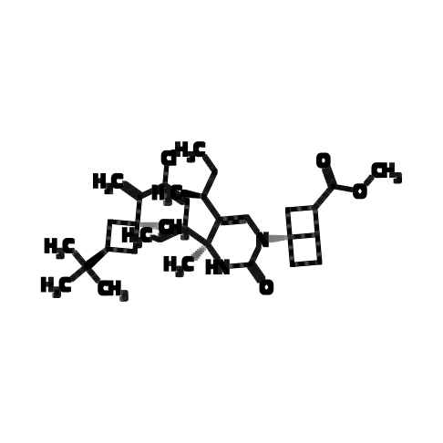 C=C(/C(Cl)=C\C(=C/C)[C@]1(C)NC(=O)N([C@@]23CCC2C(C(=O)OC)C3)C=C1[C@@H](C)CC)[C@]1(C)C[C@H](C(C)(C)C)C1